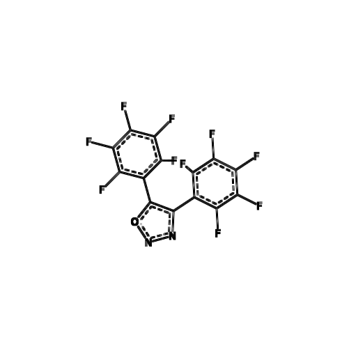 Fc1c(F)c(F)c(-c2nnoc2-c2c(F)c(F)c(F)c(F)c2F)c(F)c1F